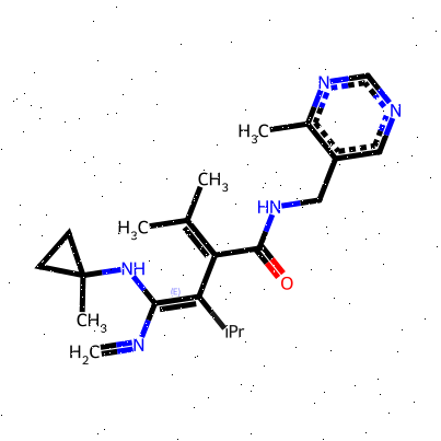 C=N/C(NC1(C)CC1)=C(/C(C(=O)NCc1cncnc1C)=C(C)C)C(C)C